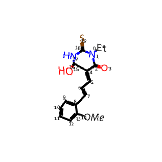 CCN1C(=O)/C(=C/C=C/c2ccccc2OC)C(O)NC1=S